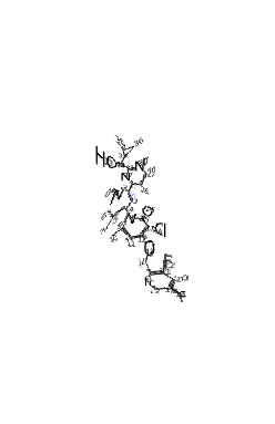 C=N/C(=C\C(=C(C)C)n1c(C)cc(OCc2ncc(F)cc2F)c(Cl)c1=O)c1ccnc([C@@H](O)C2CC2)n1